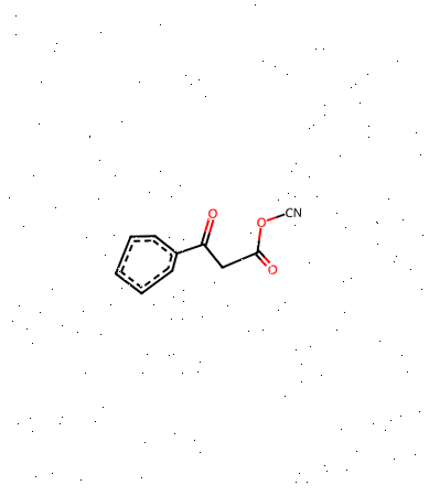 N#COC(=O)CC(=O)c1ccccc1